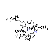 CC(=N)/C=C(\O)c1ccc2nnc([C@@H](C)N(C=O)/C=C\c3ncc(-c4cnn(C)c4)cc3C)n2c1